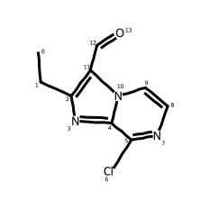 CCc1nc2c(Cl)nccn2c1C=O